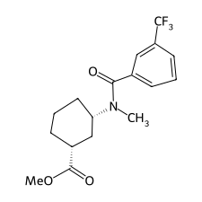 COC(=O)[C@@H]1CCC[C@H](N(C)C(=O)c2cccc(C(F)(F)F)c2)C1